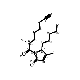 C#CCCCC[C@@H](C)C(=O)N1C(=O)C=C(C)[C@@H]1CCCCC